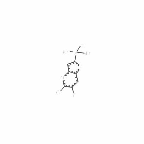 CC(C)[Si](c1cc2nc(Cl)c(F)cc2o1)(C(C)C)C(C)C